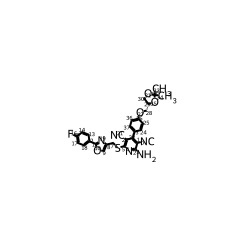 [C-]#[N+]c1c(N)nc(SCc2coc(-c3ccc(F)cc3)n2)c(C#N)c1-c1ccc(OC[C@@H]2COC(C)(C)O2)cc1